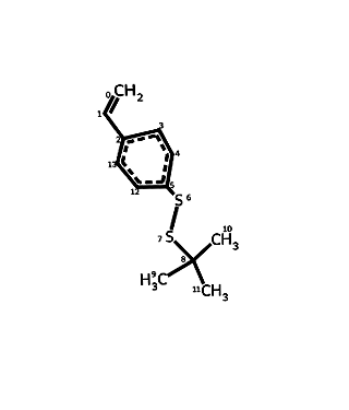 C=Cc1ccc(SSC(C)(C)C)cc1